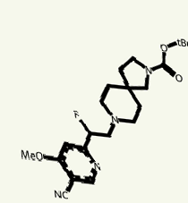 COc1cc(C(F)CN2CCC3(CC2)CCN(C(=O)OC(C)(C)C)C3)ncc1C#N